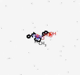 C[C@@H]1CC[C@H](NC(=O)c2ccc3ccc(CP(=O)(O)O)cc3c2)C(=O)N2[C@H](CC[C@H]2C(=O)N2CC(c3ccccc3)CC23CC3)C1